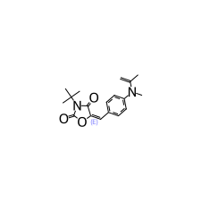 C=C(C)N(C)c1ccc(/C=C2/OC(=O)N(C(C)(C)C)C2=O)cc1